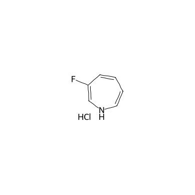 Cl.FC1=CNC=CC=C1